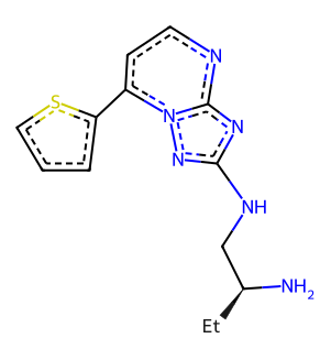 CC[C@H](N)CNc1nc2nccc(-c3cccs3)n2n1